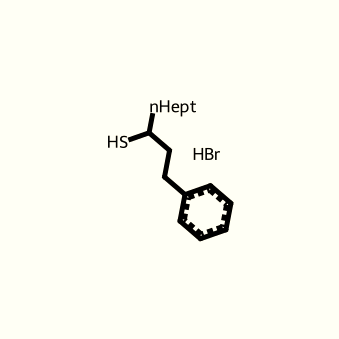 Br.CCCCCCCC(S)CCc1ccccc1